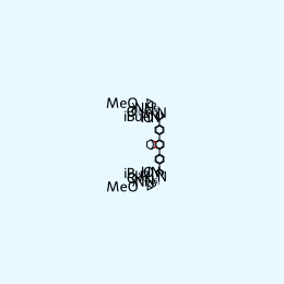 CCC(C)[C@H](NC(=O)OC)C(=O)N1C2CC2C[C@H]1c1ncc(-c2ccc(-c3ccc(-c4ccc(-c5cnc([C@@H]6CC7CC7N6C(=O)[C@@H](NC(=O)OC)C(C)CC)[nH]5)cc4)c4c3C3CCC4CC3)cc2)[nH]1